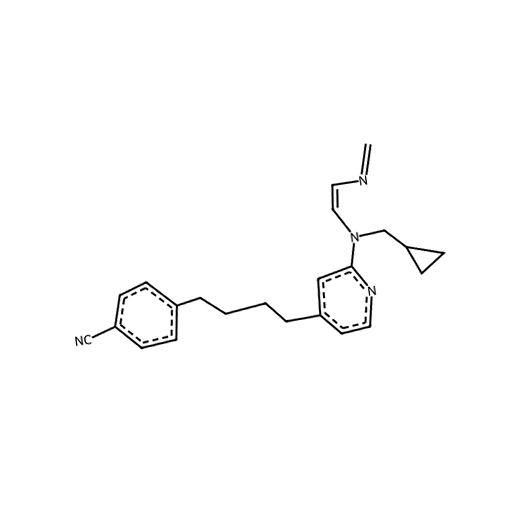 C=N/C=C\N(CC1CC1)c1cc(CCCCc2ccc(C#N)cc2)ccn1